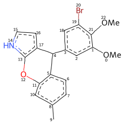 COc1cc(C2c3ccc(C)cc3Oc3[nH]ccc32)cc(Br)c1OC